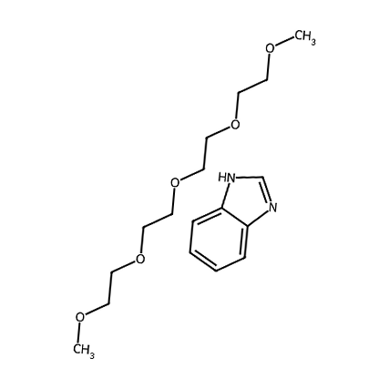 COCCOCCOCCOCCOC.c1ccc2[nH]cnc2c1